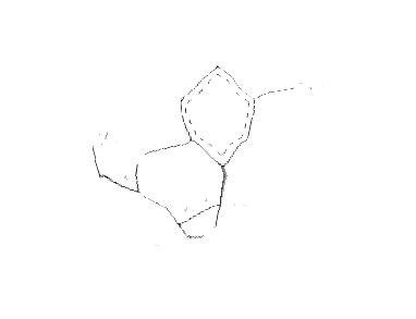 COC[C@@]1(C)Oc2ccc([N+](=O)[O-])cc2[C@H]2O[C@H]21